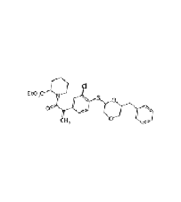 C=C(C(=O)N1CCCCC1C(=O)OCC)c1ccc(SC2COCC(Cc3ccccc3)O2)c(Cl)c1